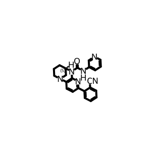 N#Cc1ccccc1-c1ccc2c(n1)N(C(=O)Nc1cccnc1)[C@H]1CCCN2C1